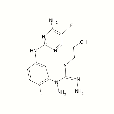 Cc1ccc(Nc2ncc(F)c(N)n2)cc1N(N)/C(=N\N)SCCO